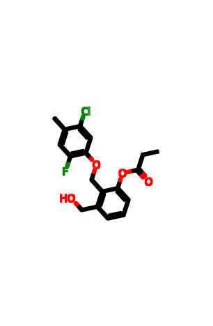 CCC(=O)Oc1cccc(CO)c1COc1cc(Cl)c(C)cc1F